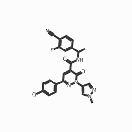 CC(NC(=O)c1cc(-c2ccc(Cl)cc2)nn(-c2cnn(C)c2)c1=O)c1ccc(C#N)c(F)c1